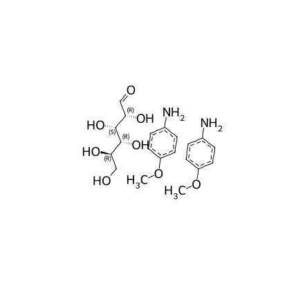 COc1ccc(N)cc1.COc1ccc(N)cc1.O=C[C@H](O)[C@@H](O)[C@H](O)[C@H](O)CO